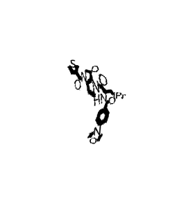 CC(C)CC(NC(=O)c1ccc(N2CCOCC2)cc1)C(=O)N1CCC2C1C(=O)CN2C(=O)c1ccsc1